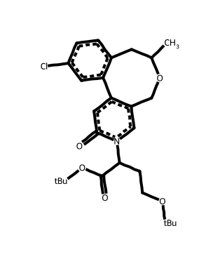 CC1Cc2ccc(Cl)cc2-c2cc(=O)n(C(CCOC(C)(C)C)C(=O)OC(C)(C)C)cc2CO1